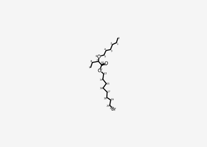 CCCCCCOC(CC)C(=O)OCCCCCCCCBr